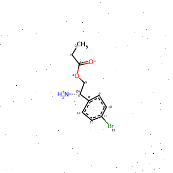 CCC(=O)OC[C@@H](N)c1ccc(Br)cc1